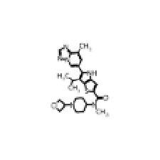 Cc1cc(-c2[nH]c3cc(C(=O)N(C)C4CCN(C5COC5)CC4)sc3c2C(C)C)cn2ncnc12